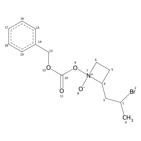 CC(Br)CC1CC[N+]1([O-])OC(=O)OCc1ccccc1